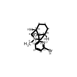 CN1C[C@H]2CCC[C@@H](C1)[C@]2(O)c1cccc(Br)n1